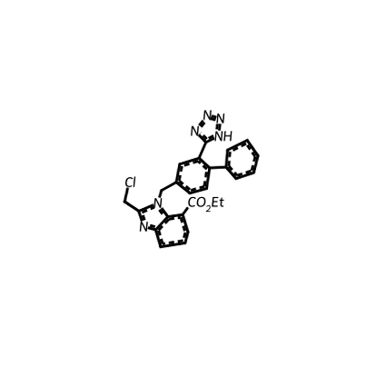 CCOC(=O)c1cccc2nc(CCl)n(Cc3ccc(-c4ccccc4)c(-c4nnn[nH]4)c3)c12